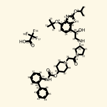 CC(C)Oc1nc2c(OC(C)(C)C)ccc([C@@H](O)CN[C@@H]3CCN(C(=O)CN4CCC(OC(=O)Nc5ccccc5-c5ccccc5)CC4)C3)c2s1.O=C(O)C(F)(F)F